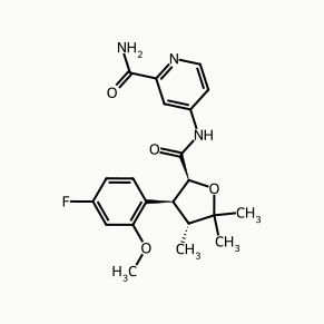 COc1cc(F)ccc1[C@H]1[C@@H](C(=O)Nc2ccnc(C(N)=O)c2)OC(C)(C)[C@@H]1C